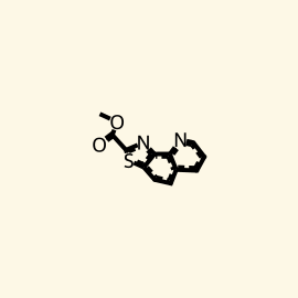 COC(=O)c1nc2c(ccc3cccnc32)s1